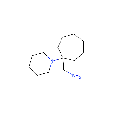 NCC1(N2CCCCC2)CCCCCC1